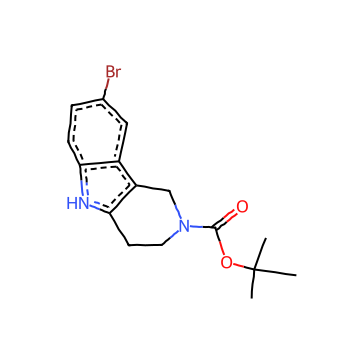 CC(C)(C)OC(=O)N1CCc2[nH]c3ccc(Br)cc3c2C1